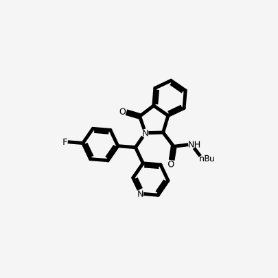 CCCCNC(=O)C1c2ccccc2C(=O)N1C(c1ccc(F)cc1)c1cccnc1